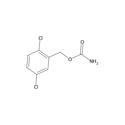 NC(=O)OCc1cc(Cl)ccc1Cl